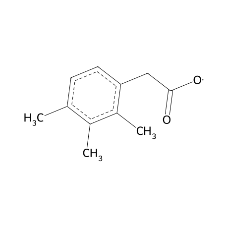 Cc1ccc(CC([O])=O)c(C)c1C